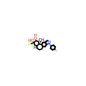 CC[C@@]12C[C@H](O)[C@](O)(C(F)(F)F)C[C@H]1CCCc1cc3c(cnn3-c3ccc(F)cc3)cc12